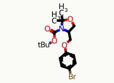 CC(C)(C)OC(=O)N1C(COc2ccc(Br)cc2)COC1(C)C